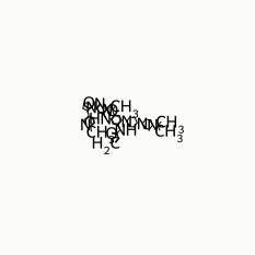 C=CC(=O)Nc1cc(Nc2cc(N3OCCC3c3ccc(C)nc3)ncn2)c(OC)cc1N1CCC(N2CCN(C(C)C)CC2)CC1